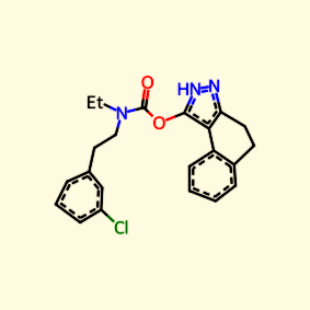 CCN(CCc1cccc(Cl)c1)C(=O)Oc1[nH]nc2c1-c1ccccc1CC2